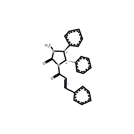 CN1C(=O)N(C(=O)/C=C/c2ccccc2)[C@@H](c2ccccc2)[C@@H]1c1ccccc1